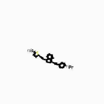 CCCCc1ccc(C#Cc2ccc(C#Cc3ccc(CCC)cc3)c3ccccc23)s1